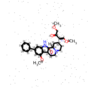 CO/C=C(/C(=O)COC)[C@@H]1CCN2CCC3c4c(cc(-c5ccccc5)cc4OC)N[C@]3(OI)[C@@H]2C1